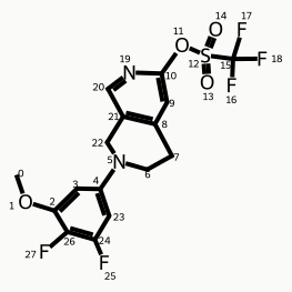 COc1cc(N2CCc3cc(OS(=O)(=O)C(F)(F)F)ncc3C2)cc(F)c1F